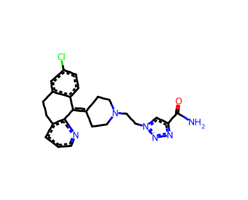 NC(=O)c1cn(CCN2CCC(=C3c4ccc(Cl)cc4CCc4cccnc43)CC2)nn1